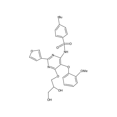 COc1ccccc1Oc1c(NS(=O)(=O)c2ccc(C(C)(C)C)cc2)nc(-c2ccoc2)nc1OCC(O)CO